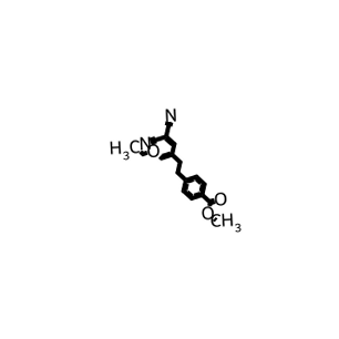 CCOC=C(C=C(C#N)C#N)CCc1ccc(C(=O)OC)cc1